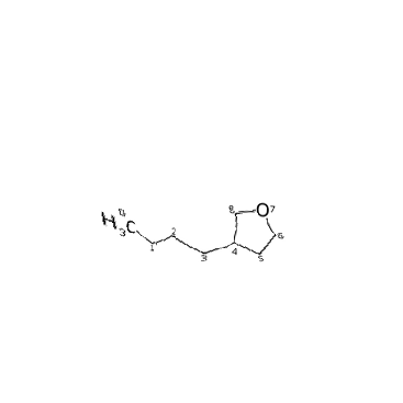 C[CH]CCC1CCOC1